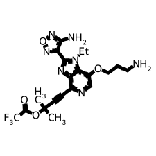 CCn1c(-c2nonc2N)nc2c(C#CC(C)(C)OC(=O)C(F)(F)F)ncc(OCCCN)c21